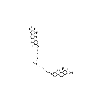 CCCC(CCCCCCCCOc1ccc(-c2ccc3cc(O)c(F)c(F)c3c2F)c(F)c1)CCCCCCCCOc1ccc(-c2ccc3cc(OCC)c(F)c(F)c3c2F)c(F)c1F